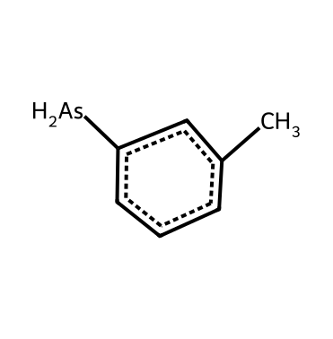 Cc1cccc([AsH2])c1